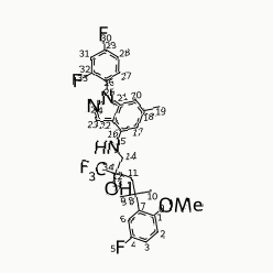 COc1ccc(F)cc1C(C)(C)CC(O)(CNc1cc(C)cc2c1cnn2-c1ccc(F)cc1F)C(F)(F)F